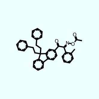 CC(=O)O/N=C(/C(=O)c1ccc2c(c1)C(CCc1ccccc1)(CCc1ccccc1)c1ccccc1-2)c1ccccc1C